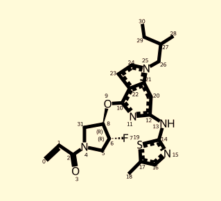 C=CC(=O)N1C[C@@H](F)[C@H](Oc2nc(Nc3ncc(C)s3)cc3c2ccn3CC(C)CC)C1